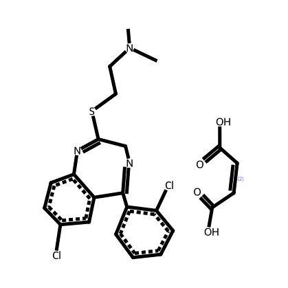 CN(C)CCSC1=Nc2ccc(Cl)cc2C(c2ccccc2Cl)=NC1.O=C(O)/C=C\C(=O)O